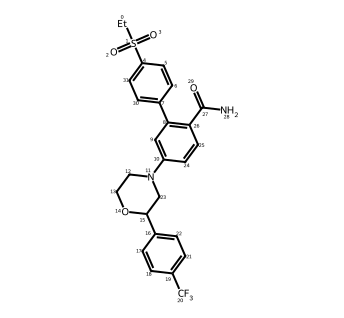 CCS(=O)(=O)c1ccc(-c2cc(N3CCOC(c4ccc(C(F)(F)F)cc4)C3)ccc2C(N)=O)cc1